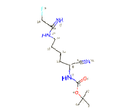 CC(C)(C)OC(=O)NC(C#N)CCCCNC(=N)CF